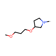 [CH2]N1CCC(OCCCOC)C1